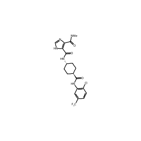 CNC(=O)c1nc[nH]c1C(=O)N[C@H]1CC[C@H](C(=O)Nc2cc(C(F)(F)F)ccc2Cl)CC1